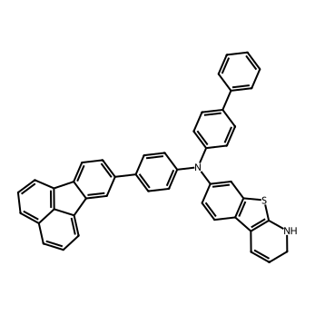 C1=Cc2c(sc3cc(N(c4ccc(-c5ccccc5)cc4)c4ccc(-c5ccc6c(c5)-c5cccc7cccc-6c57)cc4)ccc23)NC1